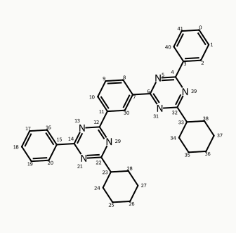 c1ccc(-c2nc(-c3cccc(-c4nc(-c5ccccc5)nc(C5CCCCC5)n4)c3)nc(C3CCCCC3)n2)cc1